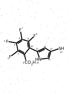 O=C(O)c1c(F)c(F)c(F)c(F)c1-c1cc(S)c[nH]1